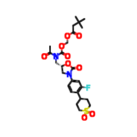 CC(=O)N(C[C@H]1CN(c2ccc(C3CCS(=O)(=O)CC3)c(F)c2)C(=O)O1)C(=O)OCOC(=O)CC(C)(C)C